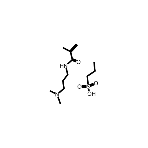 C=C(C)C(=O)NCCCN(C)C.CCCS(=O)(=O)O